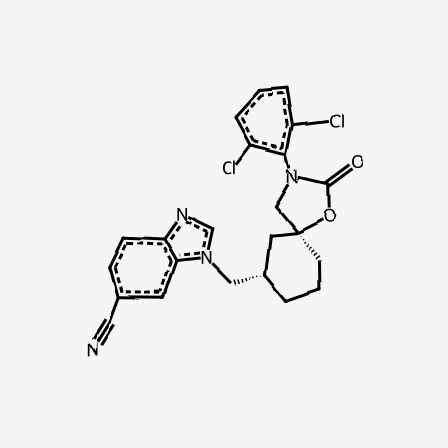 N#Cc1ccc2ncn(C[C@H]3CCC[C@]4(C3)CN(c3c(Cl)cccc3Cl)C(=O)O4)c2c1